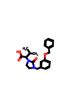 CC(C)C(C(=O)O)N1CCN(Cc2cccc(OCc3ccccc3)c2)C1=O